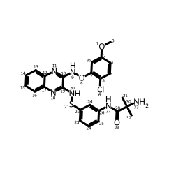 COc1ccc(Cl)c(ONc2nc3ccccc3nc2NSc2cccc(NC(=O)C(C)(C)N)c2)c1